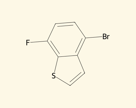 Fc1ccc(Br)c2ccsc12